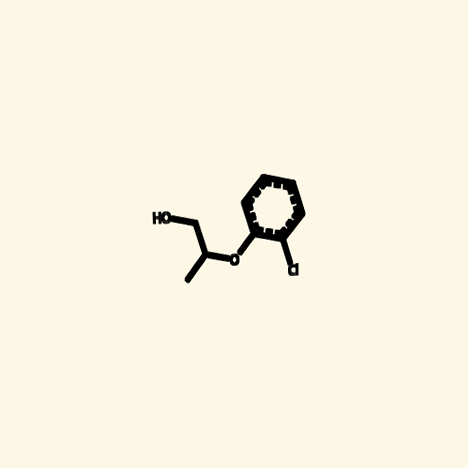 CC(CO)Oc1ccccc1Cl